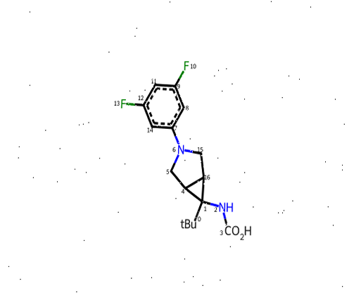 CC(C)(C)C1(NC(=O)O)C2CN(c3cc(F)cc(F)c3)CC21